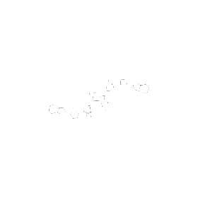 CCCCCCCCCCCCC(CCC)CN1C(=O)C2=C(c3cnc(-c4ccc(-c5cc6ccccc6s5)s4)s3)N(CC(CCCCCCCCCC)CCCCCCCCCCCC)C(=O)C2=C1c1cnc(-c2ccc(-c3cc4ccccc4s3)s2)s1